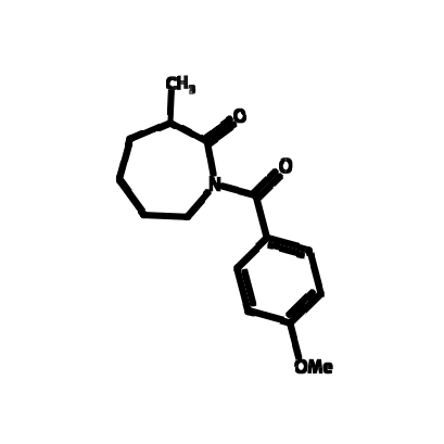 COc1ccc(C(=O)N2CCCCC(C)C2=O)cc1